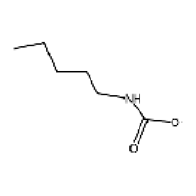 CCCCCNC([O])=O